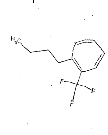 CCCCc1[c]cccc1C(F)(F)F